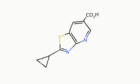 O=C(O)c1cnc2nc(C3CC3)sc2c1